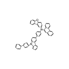 c1ccc(-c2ccc(-n3c4ccccc4c4cc(-c5ccc(N(c6ccc7oc8ccccc8c7c6)c6cc7ccccc7c7ccccc67)cc5)ccc43)cc2)cc1